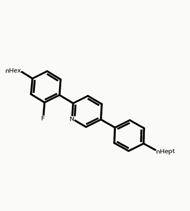 CCCCCCCc1ccc(-c2ccc(-c3ccc(CCCCCC)cc3F)nc2)cc1